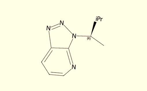 CC(C)[C@@H](C)n1nnc2cccnc21